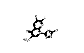 O=C(O)c1cn(-c2nc(Cl)ns2)c2nc(Cl)c(F)cc2c1=O